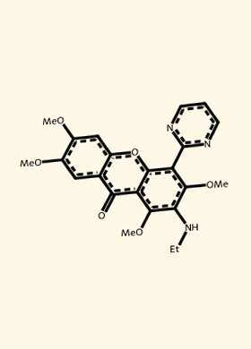 CCNc1c(OC)c(-c2ncccn2)c2oc3cc(OC)c(OC)cc3c(=O)c2c1OC